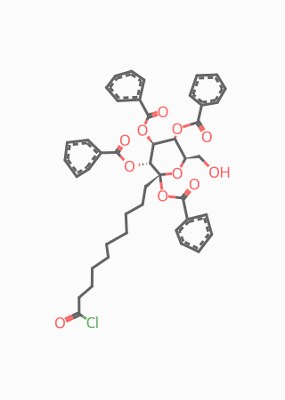 O=C(Cl)CCCCCCCCC[C@]1(OC(=O)c2ccccc2)O[C@H](CO)[C@@H](OC(=O)c2ccccc2)[C@H](OC(=O)c2ccccc2)[C@H]1OC(=O)c1ccccc1